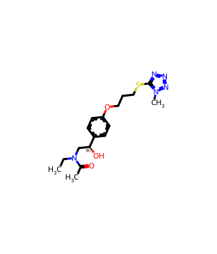 CCN(C[C@H](O)c1ccc(OCCCSc2nnnn2C)cc1)C(C)=O